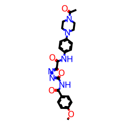 COc1ccc(C(=O)Nc2nnc(C(=O)Nc3ccc(N4CCN(C(C)=O)CC4)cc3)o2)cc1